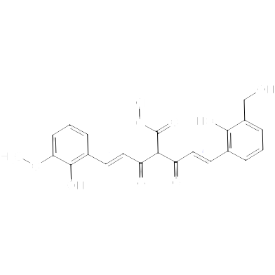 COC(=O)C(C(=O)/C=C/c1cccc(CO)c1O)C(=O)/C=C/c1cccc(OC)c1O